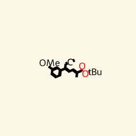 C=C=C/C(=C\C=C(/C)C(=O)OC(C)(C)C)c1cccc(C)c1OC